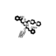 COc1ccccc1CCC(=O)NC[C@@H](Cc1c[nH]c2ccccc12)NC(=O)CN1CCC(N2CCCCC2)CC1.Cl.Cl.O.O.O